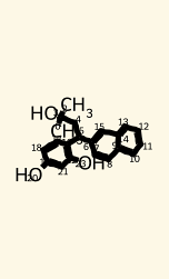 CC(C)(O)CC(c1ccc2ccccc2c1)c1ccc(O)cc1O